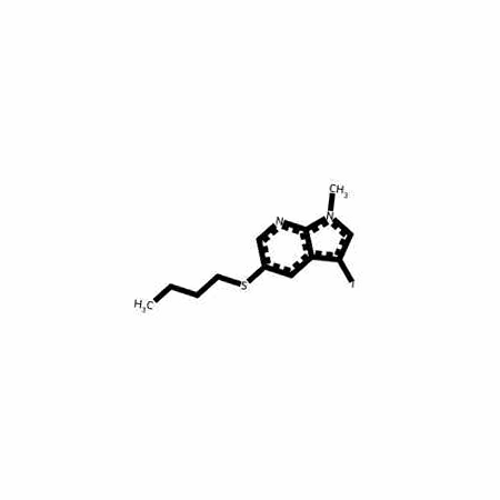 CCCCSc1cnc2c(c1)c(I)cn2C